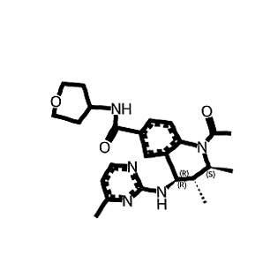 CC(=O)N1c2ccc(C(=O)NC3CCOCC3)cc2[C@H](Nc2nccc(C)n2)[C@@H](C)[C@@H]1C